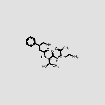 CC(=O)[C@H](CCN)NC(=O)[C@@H](NC(=O)CC(CN)c1ccccc1)C(C)O